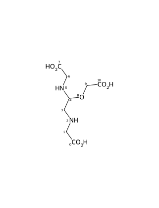 O=C(O)CNCC(NCC(=O)O)OCC(=O)O